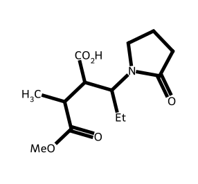 CCC(C(C(=O)O)C(C)C(=O)OC)N1CCCC1=O